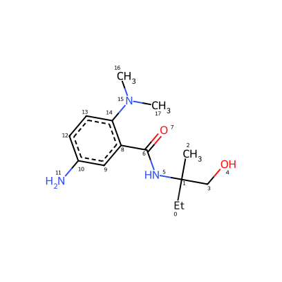 CCC(C)(CO)NC(=O)c1cc(N)ccc1N(C)C